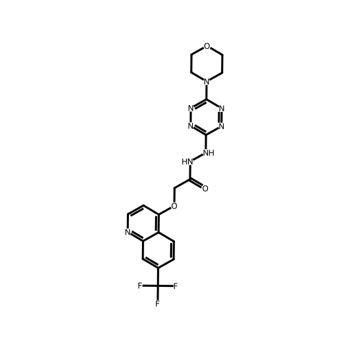 O=C(COc1ccnc2cc(C(F)(F)F)ccc12)NNc1nnc(N2CCOCC2)nn1